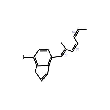 C\C=C/C=C\C(C)=C\c1ccc(I)c2c1C=CC2